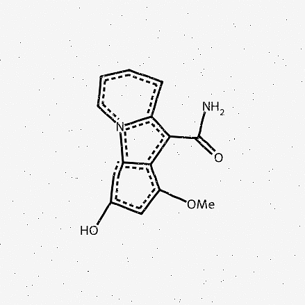 COc1cc(O)cc2c1c(C(N)=O)c1ccccn12